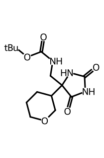 CC(C)(C)OC(=O)NCC1(C2CCCOC2)NC(=O)NC1=O